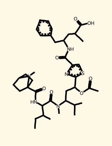 CCC(C)C(NC(=O)C12CCC(CC1)N2C)C(=O)N(C)C(CC(OC(C)=O)c1nc(C(=O)NC(Cc2ccccc2)CC(C)C(=O)O)cs1)C(C)C